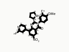 COc1ccc(-n2c([C@H]3CCCN3)nc3c(-c4ccnc(F)c4)cc([N+](=O)[O-])cc3c2=O)cc1F